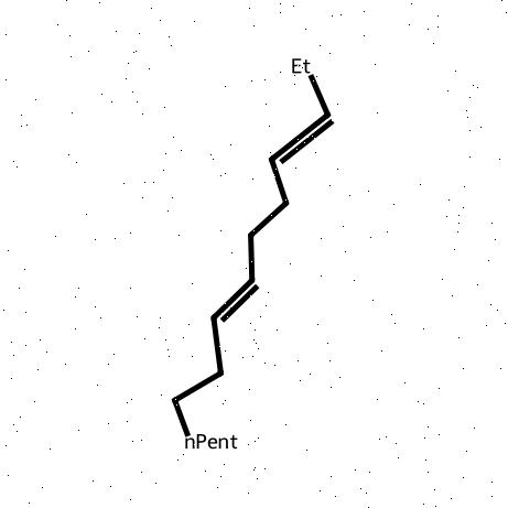 [CH2]CCCCCCC=CCCC=CCC